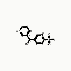 CS(=O)(=O)c1ccc(C(O)c2cccnc2)cn1